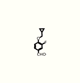 O=[C]c1ccc(OCC2CC2)c(F)c1